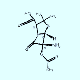 CC(=O)O[C@]1(N)C(=O)N2[C@@H](C(=O)O)C(C)(C)S[C@@H]21